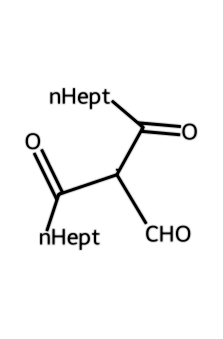 CCCCCCCC(=O)[C](C=O)C(=O)CCCCCCC